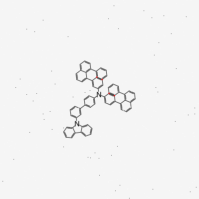 c1ccc(-c2cccc3cccc(-c4ccc(N(c5ccc(-c6cccc(-n7c8ccccc8c8ccccc87)c6)cc5)c5cccc(-c6cccc7cccc(-c8ccccc8)c67)c5)cc4)c23)cc1